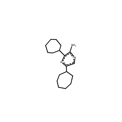 Nc1ncc(C2CCCCCC2)nc1C1CCCCCC1